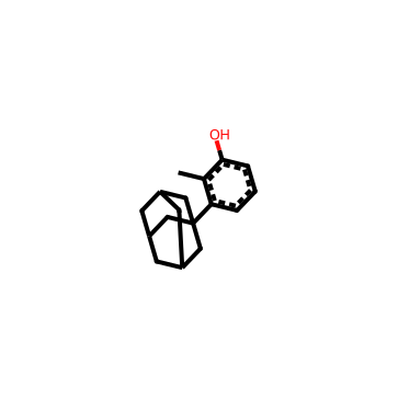 Cc1c(O)cccc1C12CC3CC(CC(C3)C1)C2